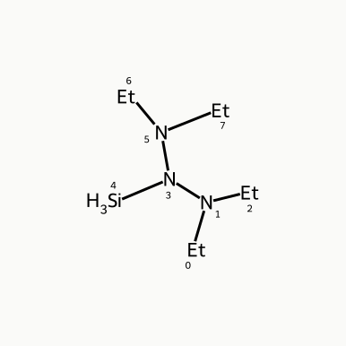 CCN(CC)N([SiH3])N(CC)CC